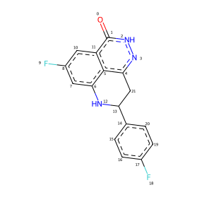 O=c1[nH]nc2c3c(cc(F)cc13)NC(c1ccc(F)cc1)C2